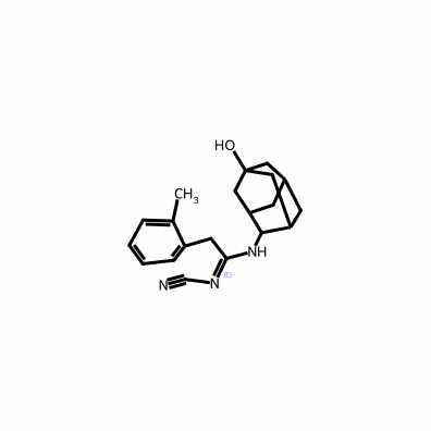 Cc1ccccc1C/C(=N\C#N)NC1C2CC3CC1CC(O)(C3)C2